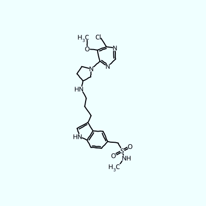 CNS(=O)(=O)Cc1ccc2[nH]cc(CCCNC3CCN(c4ncnc(Cl)c4OC)C3)c2c1